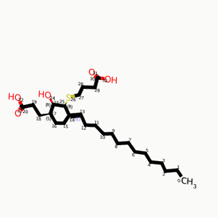 CCCCCCCCCCCCC/C=C1\CC[C@@H](CCC(=O)O)[C@@H](O)[C@@H]1SCCCC(=O)O